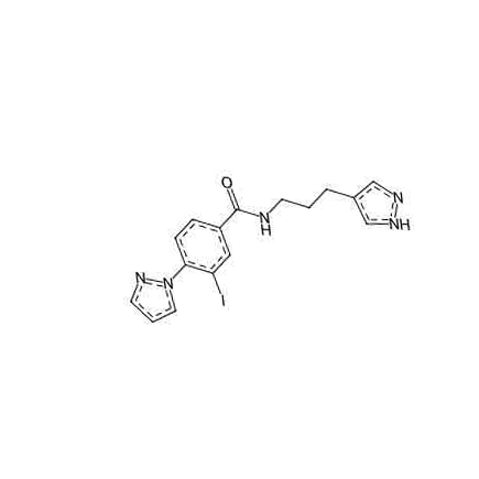 O=C(NCCCc1cn[nH]c1)c1ccc(-n2cccn2)c(I)c1